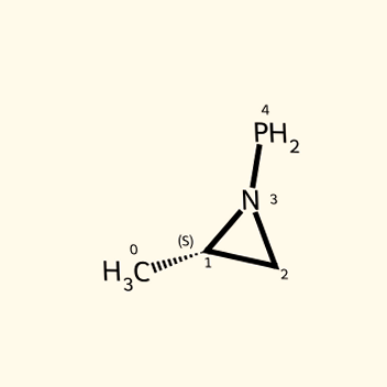 C[C@H]1CN1P